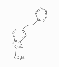 CCOC(=O)c1cc2cc(CCc3cccnc3)ccc2o1